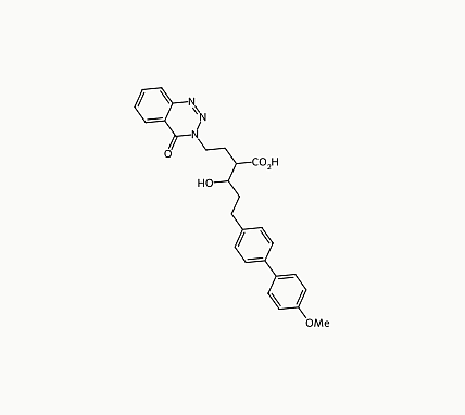 COc1ccc(-c2ccc(CCC(O)C(CCn3nnc4ccccc4c3=O)C(=O)O)cc2)cc1